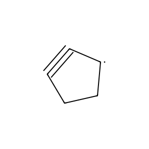 C1#CCC[CH]1